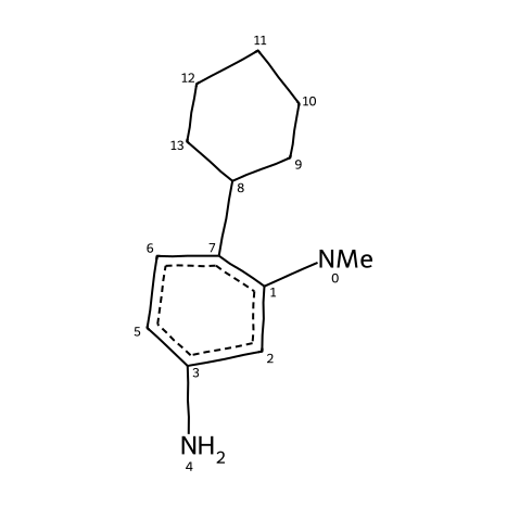 CNc1cc(N)ccc1C1CCCCC1